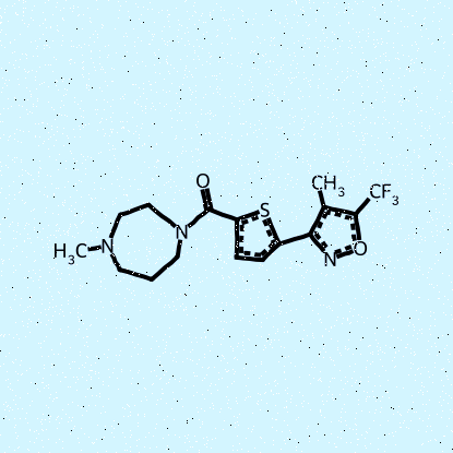 Cc1c(-c2ccc(C(=O)N3CCCN(C)CC3)s2)noc1C(F)(F)F